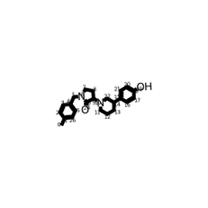 Cc1ccc(CN2CCC(N3CCCC(c4ccc(O)cc4)C3)C2=O)cc1